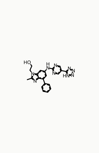 Cc1nc2c(-c3ccccc3)cc(Nc3ncc(-c4nnn[nH]4)cn3)cc2n1CCO